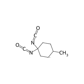 CC1[CH]CC(N=C=O)(N=C=O)CC1